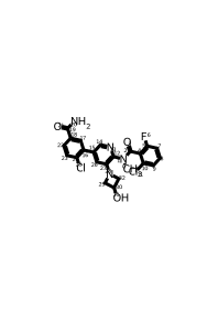 CN(C(=O)c1c(F)cccc1Cl)c1ncc(-c2cc(C(N)=O)ccc2Cl)cc1N1CC(O)C1